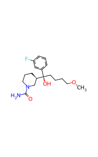 COCCCC[C@@](O)(c1cccc(F)c1)[C@@H]1CCCN(C(N)=O)C1